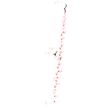 C=COOOOOOOOOOOOOOOOOOOOOOOOOOOCCCCCCCCCCCCC.CC(O)CO